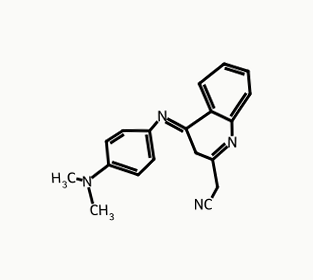 CN(C)c1ccc(N=C2CC(CC#N)=Nc3ccccc32)cc1